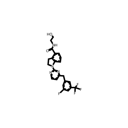 O=C(NCCO)c1cccc2c1CCN2c1nccc(Cc2cc(F)cc(C(F)(F)F)c2)n1